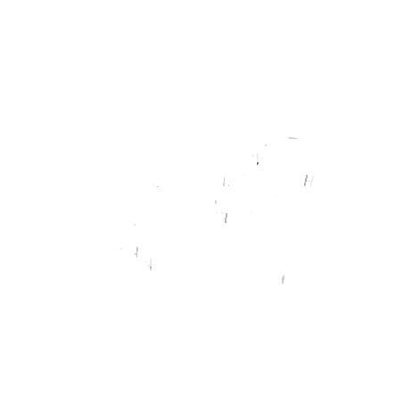 Cc1cc2c(-c3ccc(F)cc3F)nc([C@H]3CCO[C@@H](c4cnn(C)c4)C3)nc2nc1C